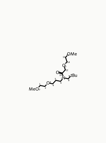 COCCOCCCN(CC(C)(C)C)C(=O)COCCOC